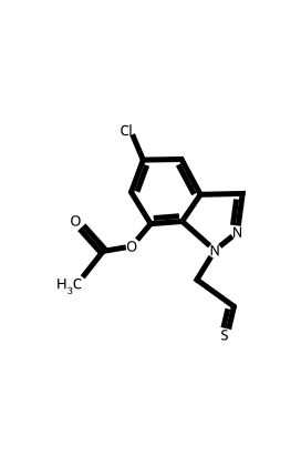 CC(=O)Oc1cc(Cl)cc2cnn(CC=S)c12